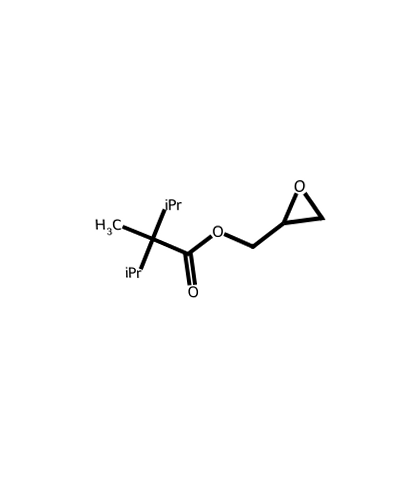 CC(C)C(C)(C(=O)OCC1CO1)C(C)C